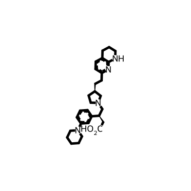 O=C(O)C[C@H](CN1CC[C@@H](CCc2ccc3c(n2)NCCC3)C1)c1cccc(N2CCCCC2)c1